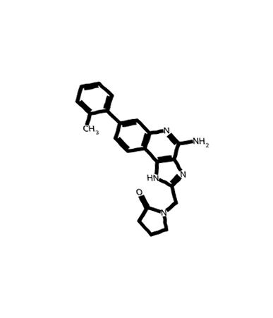 Cc1ccccc1-c1ccc2c(c1)nc(N)c1nc(CN3CCCC3=O)[nH]c12